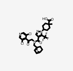 CC1(C(=O)O)CCC(n2ncc(C(=O)N(CC(=O)c3c(Cl)cncc3Cl)CC34CCC(CC3)O4)c2C(F)(F)F)CC1